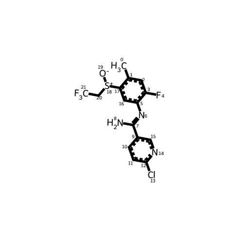 Cc1cc(F)c(/N=C(\N)c2ccc(Cl)nc2)cc1[S+]([O-])CC(F)(F)F